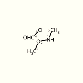 CNOC.O=CCl